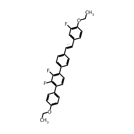 CCOc1ccc(-c2ccc(-c3ccc(/C=C/c4ccc(OCC)c(F)c4)cc3)c(F)c2F)cc1